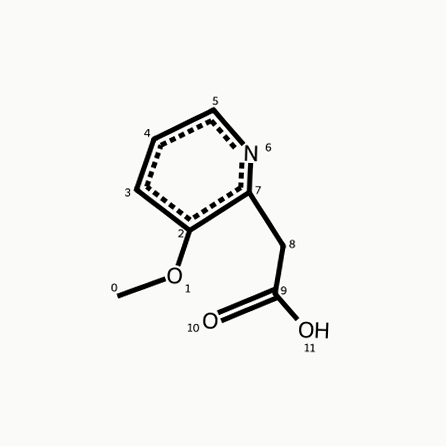 COc1cccnc1CC(=O)O